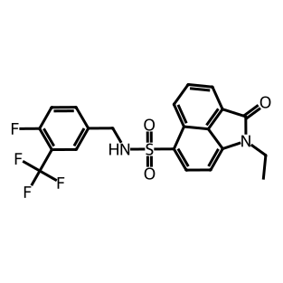 CCN1C(=O)c2cccc3c(S(=O)(=O)NCc4ccc(F)c(C(F)(F)F)c4)ccc1c23